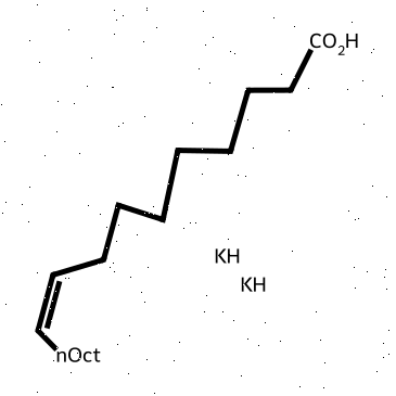 CCCCCCCC/C=C\CCCCCCCC(=O)O.[KH].[KH]